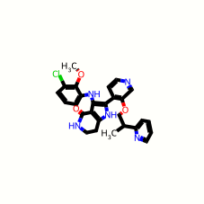 COc1c(Cl)cccc1Nc1c(-c2ccncc2OCC(C)c2ccccn2)[nH]c2c1C(=O)NCC2